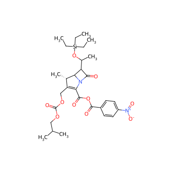 CC[Si](CC)(CC)OC(C)C1C(=O)N2C(C(=O)OC(=O)c3ccc([N+](=O)[O-])cc3)=C(COC(=O)OCC(C)C)[C@H](C)C12